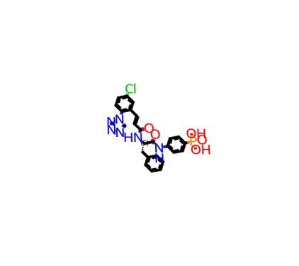 O=C(C=Cc1cc(Cl)ccc1-n1cnnn1)N[C@@H](Cc1ccccc1)C(=O)Nc1ccc(P(=O)(O)O)cc1